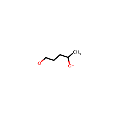 CC(O)CCC[O]